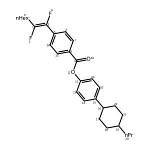 CCCCCC/C(F)=C(\F)c1ccc(C(=O)Oc2ccc(C3CCC(CCC)CC3)cc2)cc1